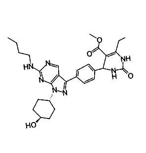 CCCCNc1ncc2c(-c3ccc(C4NC(=O)NC(CC)=C4C(=O)OC)cc3)nn([C@H]3CC[C@H](O)CC3)c2n1